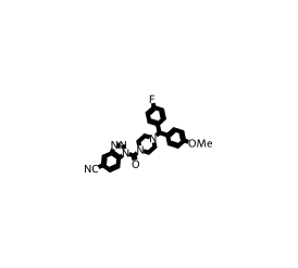 COc1ccc(C(c2ccc(F)cc2)N2CCN(C(=O)n3nnc4cc(C#N)ccc43)CC2)cc1